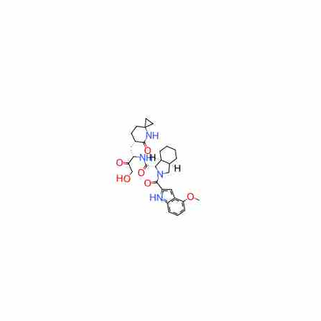 COc1cccc2[nH]c(C(=O)N3C[C@@H]4CCCC[C@@H]4[C@H]3C(=O)N[C@@H](C[C@@H]3CCC4(CC4)NC3=O)C(=O)CO)cc12